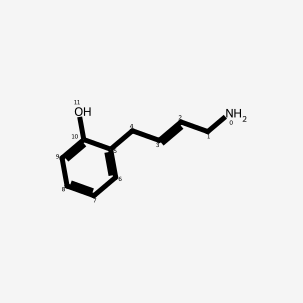 NCC=CCc1ccccc1O